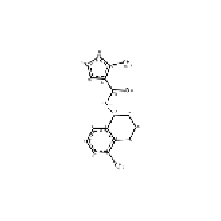 Cc1cccc2c1CCC[C@H]2NC(=O)c1conc1C